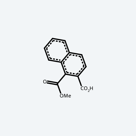 COC(=O)c1c(C(=O)O)ccc2ccccc12